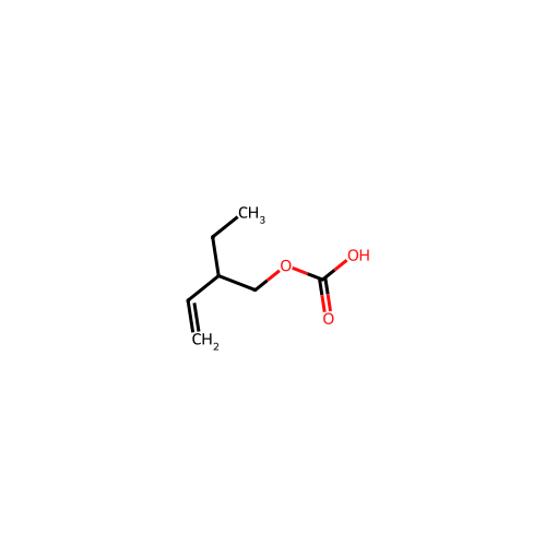 C=CC(CC)COC(=O)O